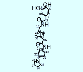 O=C(Cc1ccc(O)c(O)c1)NCc1nc(CC(=O)Nc2ccc(N3CCCC3)cc2)cs1